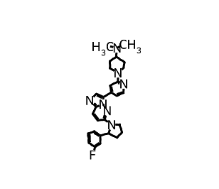 CN(C)C1CCN(c2cc(-c3cnc4ccc(N5CCCC5c5cccc(F)c5)nn34)ccn2)CC1